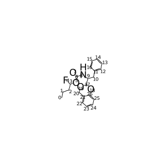 CCCC(F)OC(=O)NC(Cc1ccccc1)C(=O)OCc1ccccc1